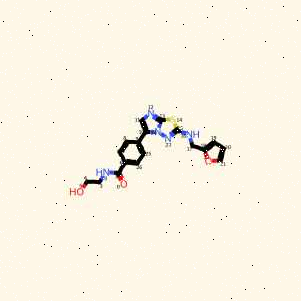 O=C(NCCO)c1ccc(-c2cnc3sc(NCc4ccco4)nn23)cc1